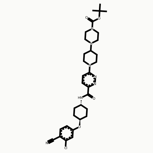 CC(C)(C)OC(=O)N1CCN(C2CCN(c3ccc(C(=O)N[C@H]4CC[C@H](Oc5ccc(C#N)c(Cl)c5)CC4)nn3)CC2)CC1